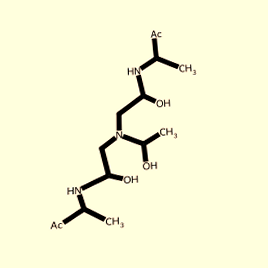 CC(=O)C(C)NC(O)CN(CC(O)NC(C)C(C)=O)C(C)O